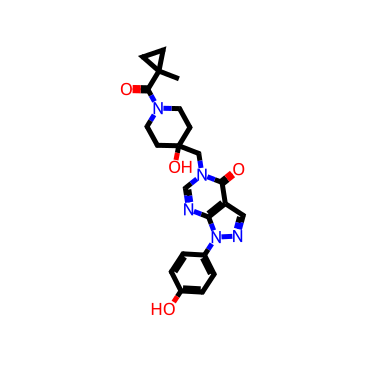 CC1(C(=O)N2CCC(O)(Cn3cnc4c(cnn4-c4ccc(O)cc4)c3=O)CC2)CC1